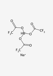 O=C(O[BH-](OC(=O)C(F)(F)F)OC(=O)C(F)(F)F)C(F)(F)F.[Na+]